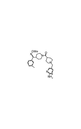 CON=C(c1cccc(C)c1)C1CCN(C(=O)C2CCN(Cc3cnc(N)nc3)CC2)CC1